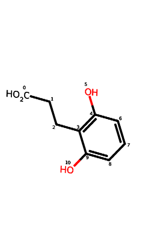 O=C(O)CCc1c(O)cccc1O